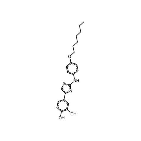 CCCCCCCOc1ccc(Nc2nc(-c3ccc(O)c(O)c3)cs2)cc1